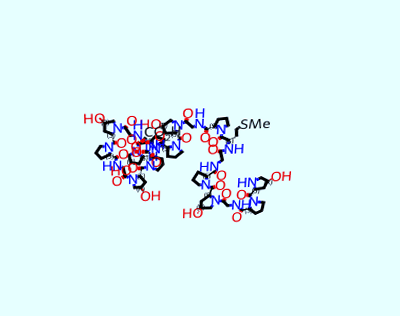 CSCC[C@H](NC(=O)CNC(=O)[C@@H]1CCCN1C(=O)[C@@H]1C[C@@H](O)CN1C(=O)CNC(=O)[C@@H]1CCCN1C(=O)[C@@H]1C[C@@H](O)CN1)C(=O)N1CCC[C@H]1C(=O)NCC(=O)N1C[C@H](O)C[C@H]1C(=O)N1CCC[C@H]1C(=O)NCC(=O)N1C[C@H](O)C[C@H]1C(=O)N1CCC[C@H]1C(=O)NCC(=O)N1C[C@H](O)C[C@H]1C(=O)N1CCC[C@H]1C(=O)NCC(=O)N1C[C@H](O)C[C@H]1C(=O)N1CCC[C@H]1C(=O)NCC(=O)O